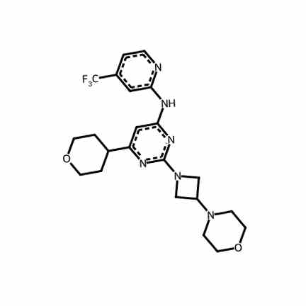 FC(F)(F)c1ccnc(Nc2cc(C3CCOCC3)nc(N3CC(N4CCOCC4)C3)n2)c1